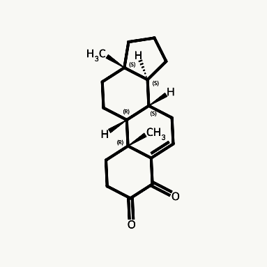 C[C@@]12CCC[C@H]1[C@@H]1CC=C3C(=O)C(=O)CC[C@]3(C)[C@@H]1CC2